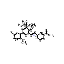 COc1ncc(F)cc1-c1cc(/C=C/c2cc[c]c(C(N)=O)n2)c(OC)c(C(C)(C)C)c1